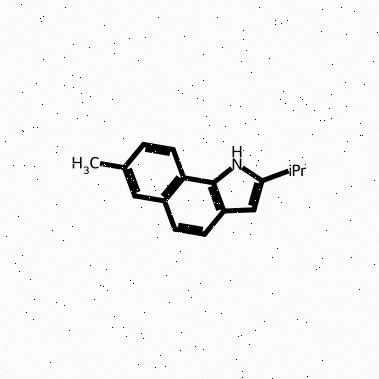 Cc1ccc2c(ccc3cc(C(C)C)[nH]c32)c1